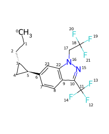 CCC[C@H]1C[C@@H]1c1ccc2c(C(F)(F)F)nn(CC(F)(F)F)c2c1